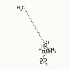 CCC=CCC=CCC=CCC=CCC=CCC=CCCC(=O)NCC(C)(C)NC(=O)C=CC(=O)OC